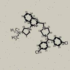 CN(C)[C@H]1CCN(c2nc(CN3CCN(C(c4ccc(Cl)cc4)c4ccc(Cl)cc4)CC3)nc3ccccc23)C1